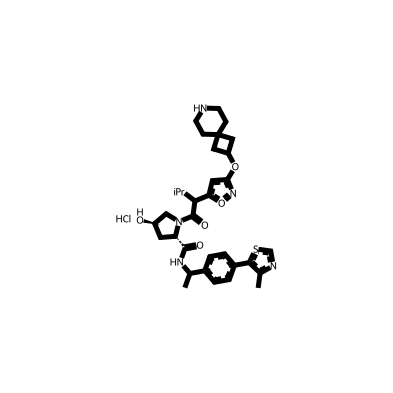 Cc1ncsc1-c1ccc(C(C)NC(=O)[C@@H]2C[C@@H](O)CN2C(=O)C(c2cc(OC3CC4(CCNCC4)C3)no2)C(C)C)cc1.Cl